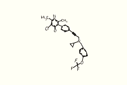 Cc1[nH]c(C)c(-c2ccc(C#CCN(Cc3ccc(OC(F)(F)F)cc3)C3CC3)cc2)c(=O)c1Cl